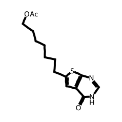 CC(=O)OCCCCCCCc1cc2c(=O)[nH]cnc2s1